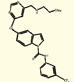 COCCNCc1cc(Oc2ccc3c(ccn3C(=O)Nc3cccc(C(F)(F)F)c3)c2)ncn1